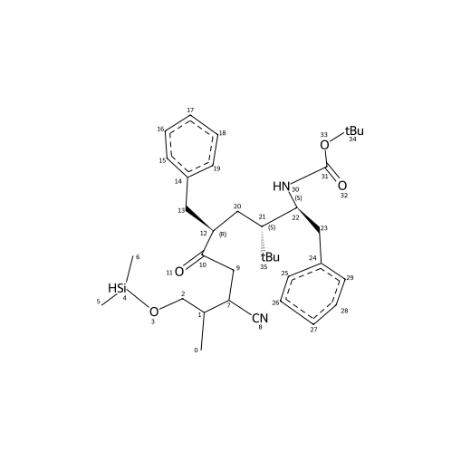 CC(CO[SiH](C)C)C(C#N)CC(=O)[C@@H](Cc1ccccc1)C[C@H]([C@H](Cc1ccccc1)NC(=O)OC(C)(C)C)C(C)(C)C